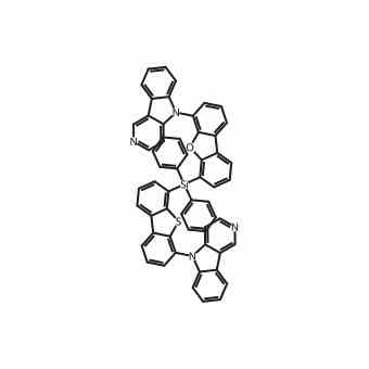 c1ccc([Si](c2ccccc2)(c2cccc3c2oc2c(-n4c5ccccc5c5cnccc54)cccc23)c2cccc3c2sc2c(-n4c5ccccc5c5cnccc54)cccc23)cc1